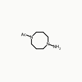 CC(=O)N1CCCN(N)CCC1